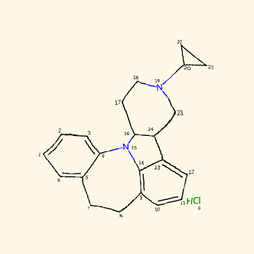 Cl.c1ccc2c(c1)CCc1cccc3c1N2C1CCN(C2CC2)CC31